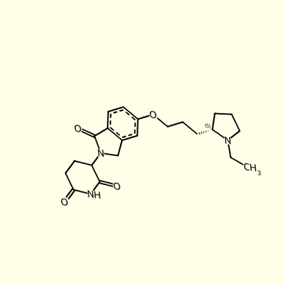 CCN1CCC[C@H]1CCCOc1ccc2c(c1)CN(C1CCC(=O)NC1=O)C2=O